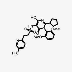 COc1cccc(OC)c1-n1c(C2CCCC2)nc(O)c(NS(=O)(=O)CCc2ncc(C)cn2)c1=O